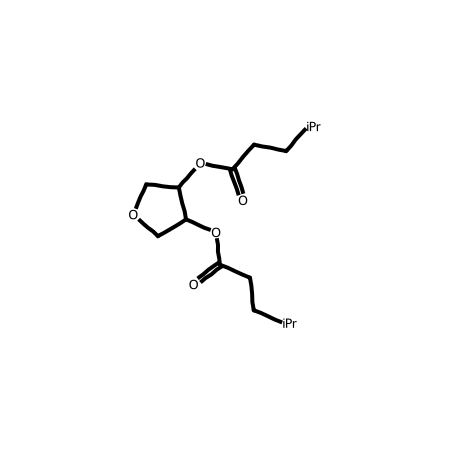 CC(C)CCC(=O)OC1COCC1OC(=O)CCC(C)C